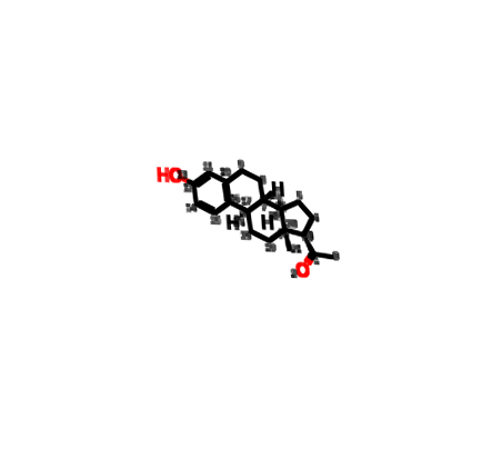 CC(=O)[C@@H]1CC[C@@H]2[C@H]3CCc4cc(O)ccc4[C@@H]3CC[C@]21C